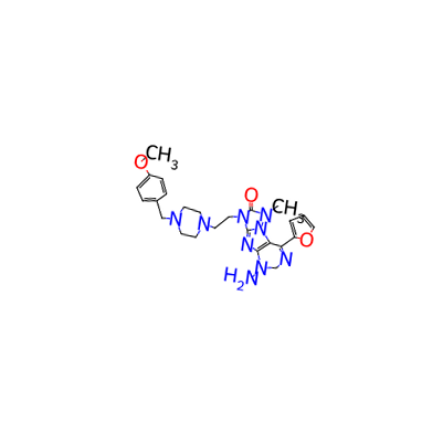 COc1ccc(CN2CCN(CCn3c(=O)n(C)n4c5c(nc34)N(N)CN=C5c3ccco3)CC2)cc1